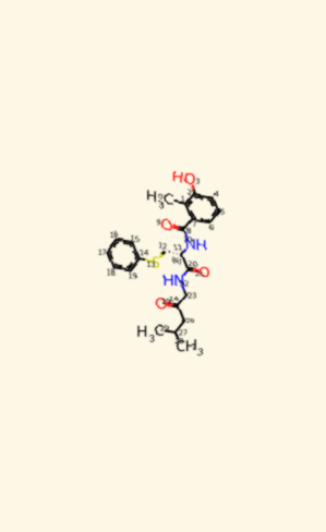 Cc1c(O)cccc1C(=O)N[C@@H](CSc1ccccc1)C(=O)NCC(=O)CC(C)C